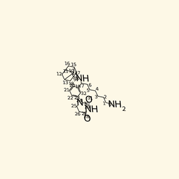 NCCCCCCC(NC12CC3CC(CC(C3)C1)C2)c1cccc(N2CCC(=O)NC2=O)c1